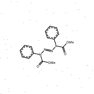 COC(=O)N(N=NN(C(=O)OC)c1ccccc1)c1ccccc1